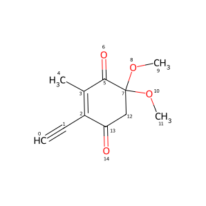 C#CC1=C(C)C(=O)C(OC)(OC)CC1=O